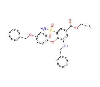 CCOC(=O)c1cc(NCc2ccccc2)c(Oc2ccc(OCc3ccccc3)cc2)c(S(N)(=O)=O)c1